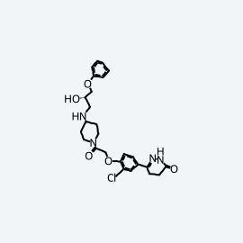 O=C1CCC(c2ccc(OCC(=O)N3CCC(NC[C@H](O)COc4ccccc4)CC3)c(Cl)c2)=NN1